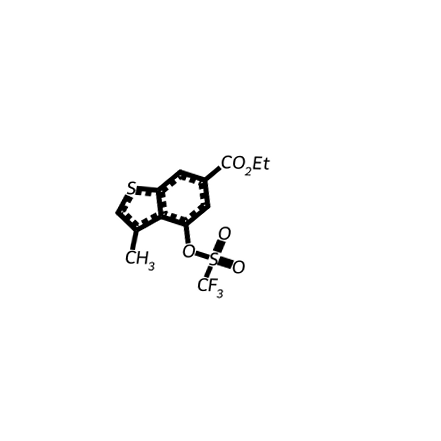 CCOC(=O)c1cc(OS(=O)(=O)C(F)(F)F)c2c(C)csc2c1